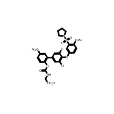 CCOC(=O)CNC(=O)Oc1ccc(OC)cc1-c1cc(Cl)c(Oc2ccc(OC)c(S(=O)(=O)N3CCCC3)c2)c(Cl)c1